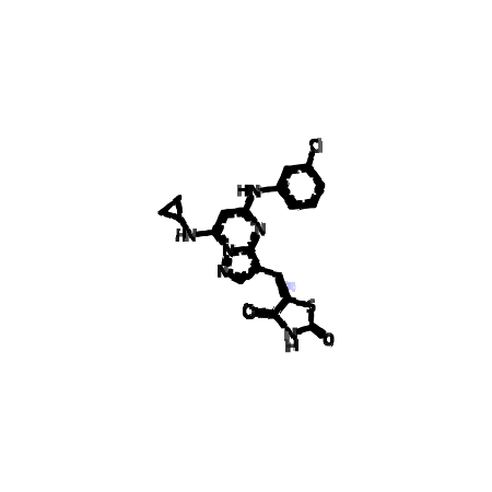 O=C1NC(=O)/C(=C\c2cnn3c(NC4CC4)cc(Nc4cccc(Cl)c4)nc23)S1